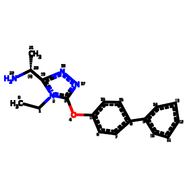 CCn1c(Oc2ccc(-c3ccccc3)cc2)nnc1[C@@H](C)N